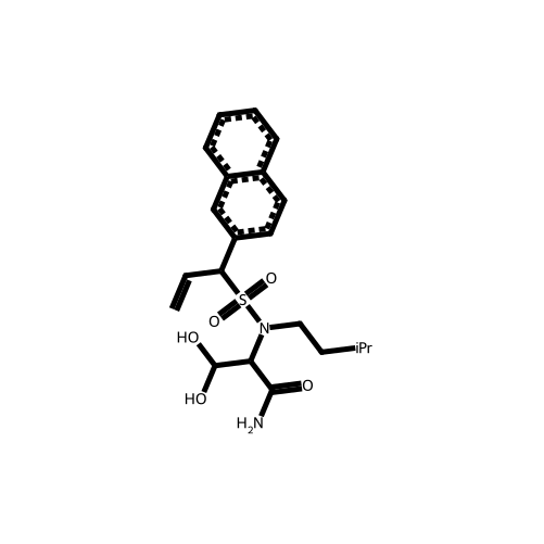 C=CC(c1ccc2ccccc2c1)S(=O)(=O)N(CCC(C)C)C(C(N)=O)C(O)O